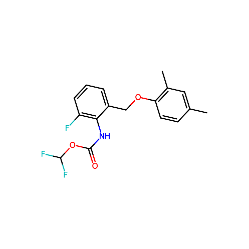 Cc1ccc(OCc2cccc(F)c2NC(=O)OC(F)F)c(C)c1